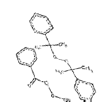 CC(C)(C)OOC(=O)c1ccccc1.CC(C)(OOC(C)(C)c1ccccc1)c1ccccc1